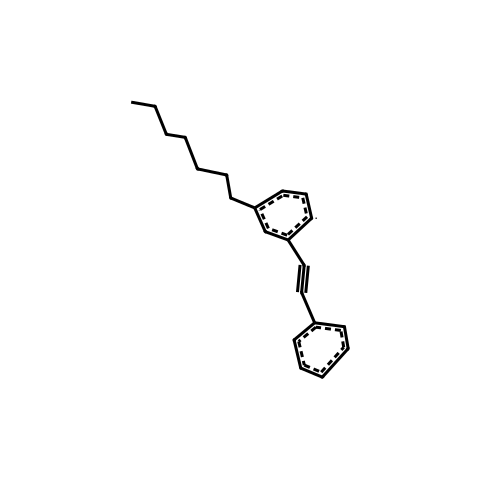 CCCCCCCc1cc[c]c(C#Cc2ccccc2)c1